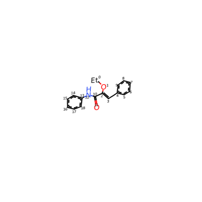 CCOC(=Cc1ccccc1)C(=O)Nc1ccccc1